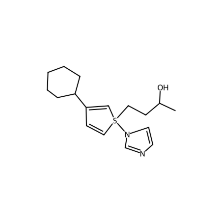 CC(O)CCS1(n2ccnc2)C=CC(C2CCCCC2)=C1